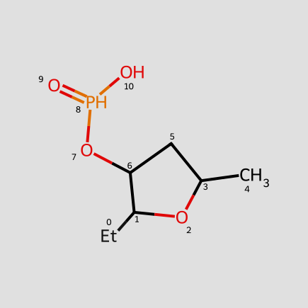 CCC1OC(C)CC1O[PH](=O)O